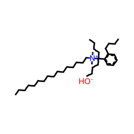 CCCCCCCCCCCCCCCC[N+](C)(C)C(CCCC)(CCCC)c1ccccc1CCCC.[OH-]